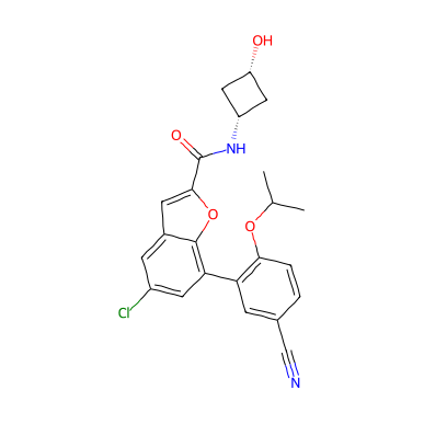 CC(C)Oc1ccc(C#N)cc1-c1cc(Cl)cc2cc(C(=O)N[C@H]3C[C@@H](O)C3)oc12